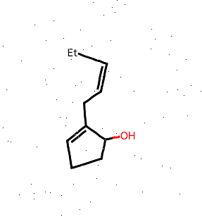 CC/C=C\CC1=CCCC1O